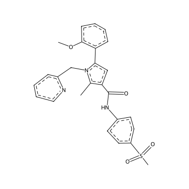 COc1ccccc1-c1cc(C(=O)Nc2ccc(S(C)(=O)=O)cc2)c(C)n1Cc1ccccn1